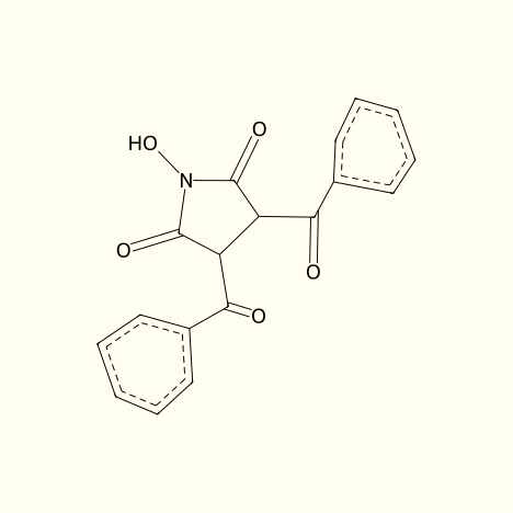 O=C(c1ccccc1)C1C(=O)N(O)C(=O)C1C(=O)c1ccccc1